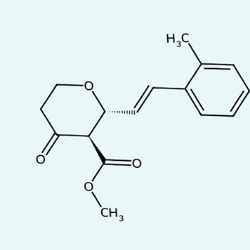 COC(=O)[C@H]1C(=O)CCO[C@@H]1/C=C/c1ccccc1C